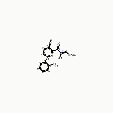 CC/C(=C\NC)C(=O)c1nn(-c2ccccc2C(F)(F)F)ccc1=O